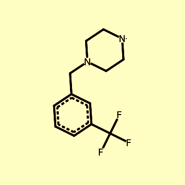 FC(F)(F)c1cccc(CN2CC[N]CC2)c1